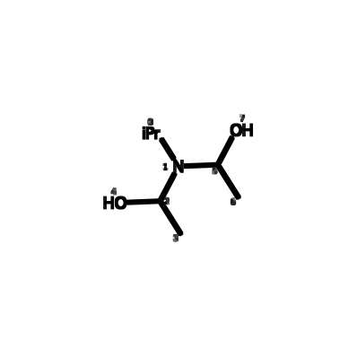 [CH2]C(C)N(C(C)O)C(C)O